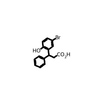 O=C(O)CC(c1ccccc1)c1cc(Br)ccc1O